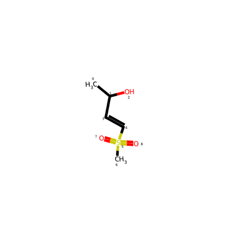 CC(O)C=CS(C)(=O)=O